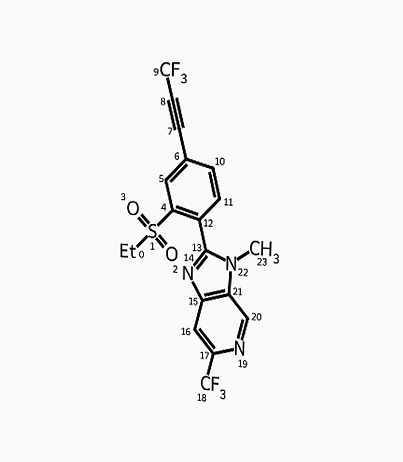 CCS(=O)(=O)c1cc(C#CC(F)(F)F)ccc1-c1nc2cc(C(F)(F)F)ncc2n1C